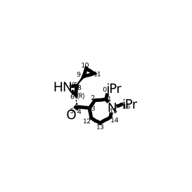 CC(C)C1CC(C(=O)[C@@H]2N[C@H]2C2CC2)CCCN1C(C)C